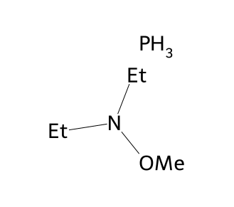 CCN(CC)OC.P